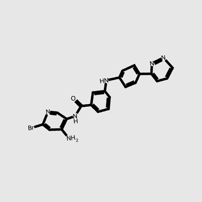 Nc1cc(Br)ncc1NC(=O)c1cccc(Nc2ccc(-c3cccnn3)cc2)c1